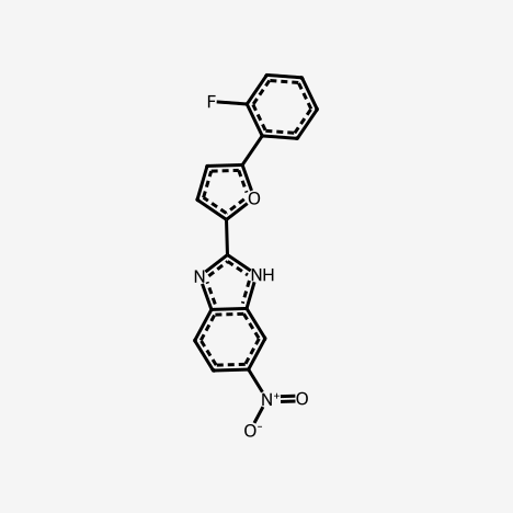 O=[N+]([O-])c1ccc2nc(-c3ccc(-c4ccccc4F)o3)[nH]c2c1